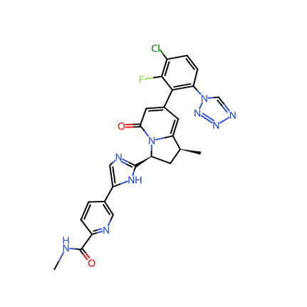 CNC(=O)c1ccc(-c2cnc([C@@H]3C[C@H](C)c4cc(-c5c(-n6cnnn6)ccc(Cl)c5F)cc(=O)n43)[nH]2)cn1